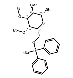 CCO[C@@H]1[C@@H](OC(C)=O)[C@H](S)O[C@H](CO[Si](c2ccccc2)(c2ccccc2)C(C)(C)C)[C@@H]1OCC